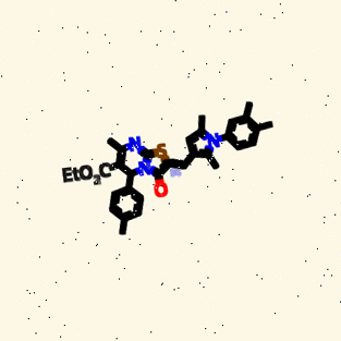 CCOC(=O)C1=C(C)N=c2s/c(=C\c3cc(C)n(-c4ccc(C)c(C)c4)c3C)c(=O)n2C1c1ccc(C)cc1